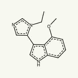 CCn1cncc1-c1c[nH]c2cccc(OC)c12